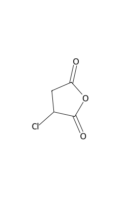 O=C1CC(Cl)C(=O)O1